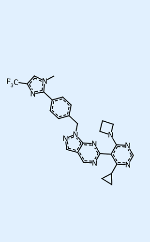 Cn1cc(C(F)(F)F)nc1-c1ccc(Cn2ncc3cnc(-c4c(C5CC5)ncnc4N4CCC4)nc32)cc1